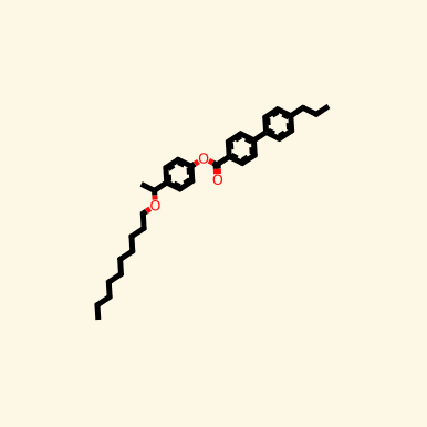 CCCCCCCCCCOC(C)c1ccc(OC(=O)c2ccc(-c3ccc(CCC)cc3)cc2)cc1